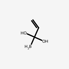 BC(O)(O)C=C